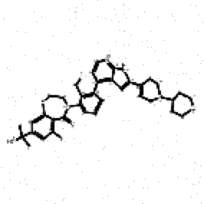 CC(C)(O)c1cc(F)c2c(c1)OCCN(c1cccc(-c3ccnc4[nH]c(C5=CCN(C6CCOCC6)CC5)cc34)c1CO)C2=O